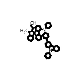 C=C/C=C1\C(=C)c2ccccc2C12c1ccccc1-c1c(N(c3ccccc3)c3ccc(-c4ccc5c(c4)c4ccccc4n5-c4ccccc4)cc3)cccc12